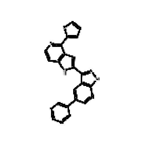 c1csc(-c2nccc3[nH]c(-c4n[nH]c5ncc(-c6cncnc6)cc45)cc23)c1